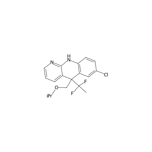 CC(C)OCC1(C(C)(F)F)c2cc(Cl)ccc2Nc2ncccc21